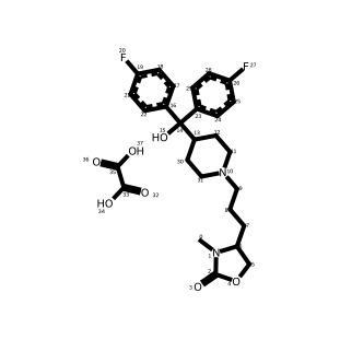 CN1C(=O)OCC1CCCN1CCC(C(O)(c2ccc(F)cc2)c2ccc(F)cc2)CC1.O=C(O)C(=O)O